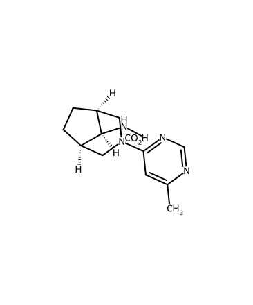 Cc1cc(N2C[C@H]3CC[C@@H](C2)[C@H]3NC(=O)O)ncn1